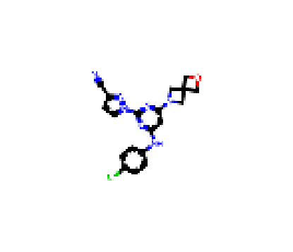 N#Cc1ccn(-c2nc(Nc3ccc(Cl)cc3)cc(N3CC4(COC4)C3)n2)n1